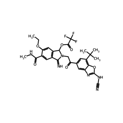 CCOc1cc2c(cc1C(=O)NC)C(=N)N(CC(=O)c1cc(C(C)(C)C)c3oc(NC#N)nc3c1)C2OC(=O)C(F)(F)F